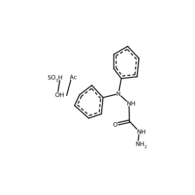 CC(C)=O.NNC(=O)NN(c1ccccc1)c1ccccc1.O=S(=O)(O)O